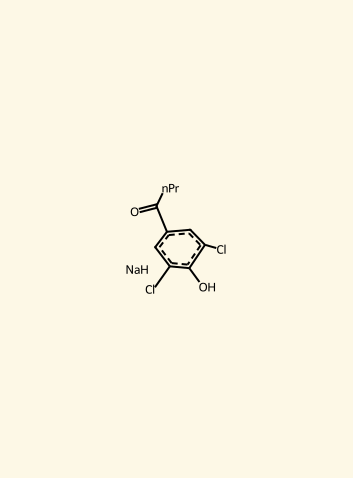 CCCC(=O)c1cc(Cl)c(O)c(Cl)c1.[NaH]